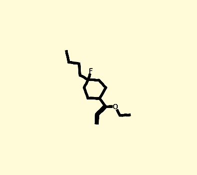 C=C=C(OCC)C1CCC(F)(CCCC)CC1